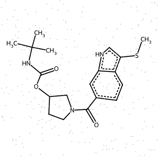 CSc1c[nH]c2cc(C(=O)N3CCC(OC(=O)NC(C)(C)C)C3)ccc12